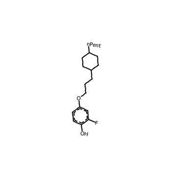 CCCCCC1CCC(CCCOc2ccc(O)c(F)c2)CC1